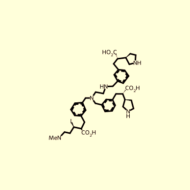 CNCC[C@@H](I)[C@H](Cc1cccc(CN(CCNCc2cccc(C[C@H](C(=O)O)[C@H]3CCNC3)c2)Cc2cccc(C[C@H](C(=O)O)[C@H]3CCNC3)c2)c1)C(=O)O